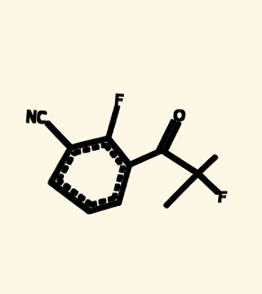 CC(C)(F)C(=O)c1cccc(C#N)c1F